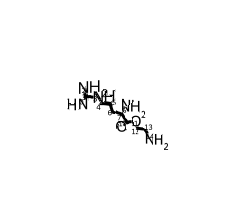 N=C(N)NCCC[C@H](N)C(=O)OCCN